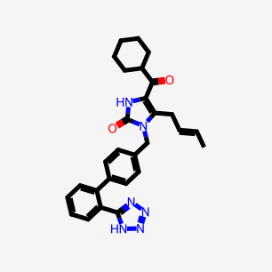 CC=CCc1c(C(=O)C2CCCCC2)[nH]c(=O)n1Cc1ccc(-c2ccccc2-c2nnn[nH]2)cc1